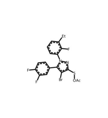 CCc1cccc(-n2nc(SOC(C)=O)c(Br)c2-c2ccc(F)c(F)c2)c1F